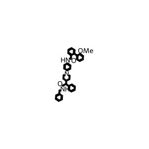 COc1ccccc1-c1ccccc1C(=O)Nc1ccc(N2CCC(C(C(=O)NCc3ccccc3)c3ccccc3)CC2)cc1